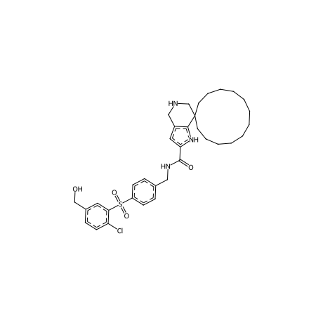 O=C(NCc1ccc(S(=O)(=O)c2cc(CO)ccc2Cl)cc1)c1cc2c([nH]1)C1(CCCCCCCCCCCC1)CNC2